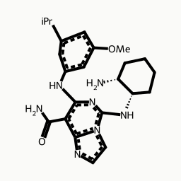 COc1cc(Nc2nc(N[C@H]3CCCC[C@H]3N)n3ccnc3c2C(N)=O)cc(C(C)C)c1